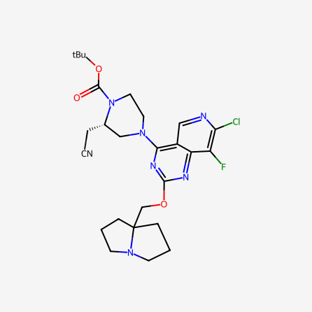 CC(C)(C)OC(=O)N1CCN(c2nc(OCC34CCCN3CCC4)nc3c(F)c(Cl)ncc23)C[C@@H]1CC#N